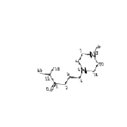 C=C(CCCN1CCN(C)CC1)C(C)C